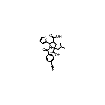 CC(C)CC1(C(=O)O)CC(C(=O)O)C(c2cccs2)N1C(=O)c1ccc(C#N)cc1